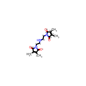 CC1=C(C)C(=O)N(CCNCCN2C(=O)C(C)=C(C)C2=O)C1=O